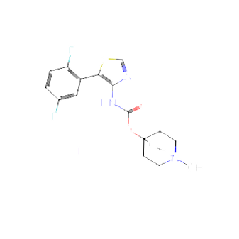 C[N+]12CCC(OC(=O)Nc3ncsc3-c3cc(F)ccc3F)(CC1)CC2.[I-]